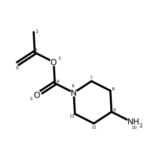 C=C(C)OC(=O)N1CCC(N)CC1